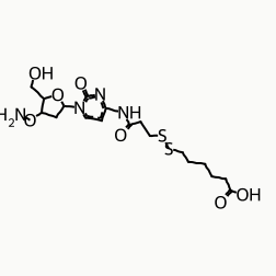 NOC1CC(n2ccc(NC(=O)CCSSCCCCCC(=O)O)nc2=O)OC1CO